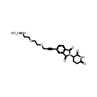 O=C(O)NCCOCCOCC#Cc1ccc2c(c1)C(=O)N(C1CCC(=O)NC1=O)C2=O